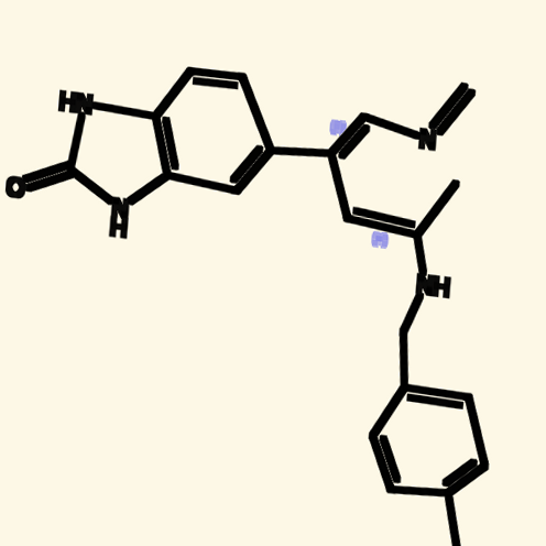 C=N/C=C(\C=C(/C)NCc1ccc(F)cc1)c1ccc2[nH]c(=O)[nH]c2c1